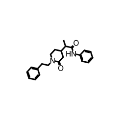 CC(C(=O)Nc1ccccc1)C1CCN(CCc2ccccc2)C(=O)C1